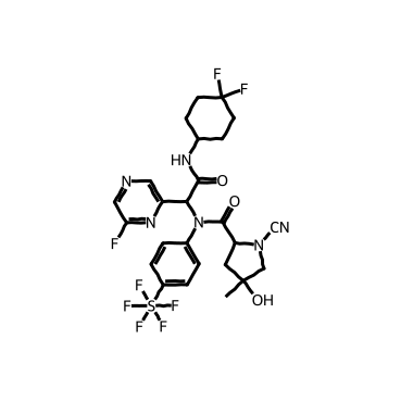 CC1(O)CC(C(=O)N(c2ccc(S(F)(F)(F)(F)F)cc2)C(C(=O)NC2CCC(F)(F)CC2)c2cncc(F)n2)N(C#N)C1